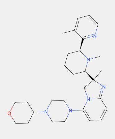 Cc1cccnc1[C@@H]1CCC[C@H](C2(C)CN3C(N4CCN(C5CCOCC5)CC4)=CC=CC3=N2)N1C